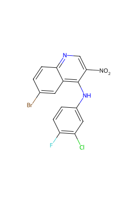 O=[N+]([O-])c1cnc2ccc(Br)cc2c1Nc1ccc(F)c(Cl)c1